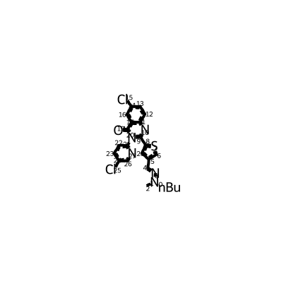 CCCCN(C)N=Cc1csc(-c2nc3ccc(Cl)cc3c(=O)n2-c2ccc(Cl)cn2)c1